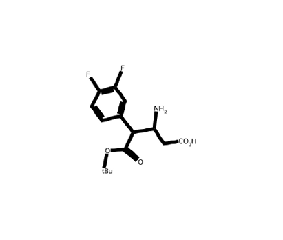 CC(C)(C)OC(=O)C(c1ccc(F)c(F)c1)C(N)CC(=O)O